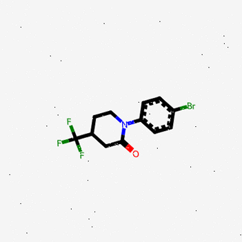 O=C1CC(C(F)(F)F)CCN1c1ccc(Br)cc1